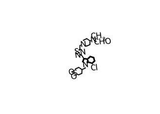 CN(C=O)C1CCN(Cc2nc(-c3cn(CC4CCS(=O)(=O)CC4)c4c(Cl)cccc34)ns2)CC1